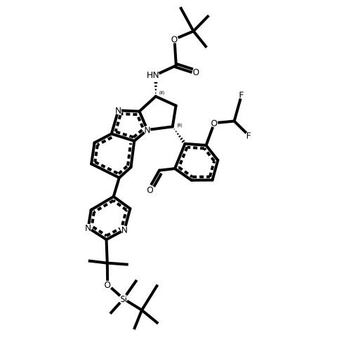 CC(C)(C)OC(=O)N[C@@H]1C[C@H](c2c(C=O)cccc2OC(F)F)n2c1nc1ccc(-c3cnc(C(C)(C)O[Si](C)(C)C(C)(C)C)nc3)cc12